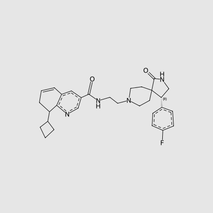 O=C(NCCN1CCC2(CC1)C(=O)NC[C@@H]2c1ccc(F)cc1)c1cnc2c(c1)C=CCC2C1CCC1